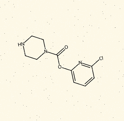 O=C(Oc1cccc(Cl)n1)N1CCNCC1